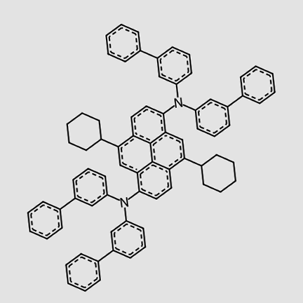 c1ccc(-c2cccc(N(c3cccc(-c4ccccc4)c3)c3ccc4c(C5CCCCC5)cc5c(N(c6cccc(-c7ccccc7)c6)c6cccc(-c7ccccc7)c6)ccc6c(C7CCCCC7)cc3c4c65)c2)cc1